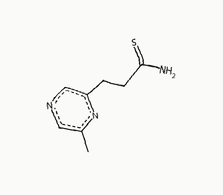 Cc1cncc(CCC(N)=S)n1